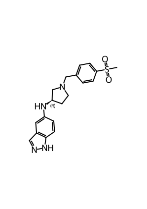 CS(=O)(=O)c1ccc(CN2CC[C@@H](Nc3ccc4[nH]ncc4c3)C2)cc1